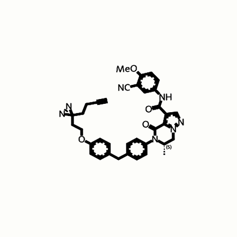 C#CCCC1(CCOc2ccc(Cc3ccc(N4C(=O)c5c(C(=O)Nc6ccc(OC)c(C#N)c6)cnn5C[C@@H]4C)cc3)cc2)N=N1